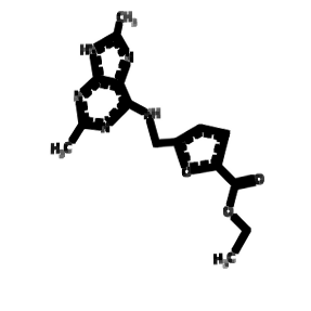 CCOC(=O)c1ccc(CNc2nc(C)nc3[nH]c(C)nc23)o1